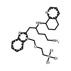 CC[Si](CC)(CC)CCOCn1c(CC(CCCN)NC2CCCc3cccnc32)nc2ccccc21